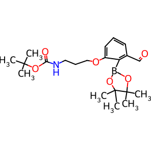 CC(C)(C)OC(=O)NCCCOc1cccc(C=O)c1B1OC(C)(C)C(C)(C)O1